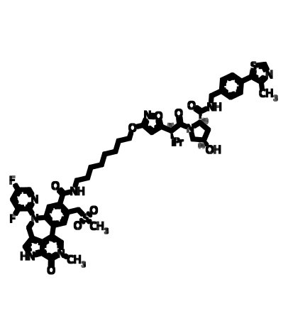 Cc1ncsc1-c1ccc(CNC(=O)[C@@H]2C[C@@H](O)CN2C(=O)[C@@H](c2cc(OCCCCCCCCNC(=O)c3cc4c(cc3CS(C)(=O)=O)-c3cn(C)c(=O)c5[nH]cc(c35)CN4c3ncc(F)cc3F)no2)C(C)C)cc1